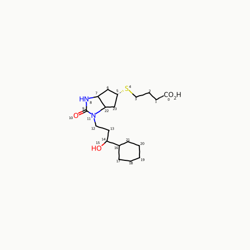 O=C(O)CCCS[C@H]1CC2NC(=O)N(CCC(O)C3CCCCC3)C2C1